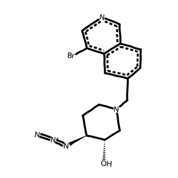 [N-]=[N+]=N[C@H]1CCN(Cc2ccc3cncc(Br)c3c2)C[C@@H]1O